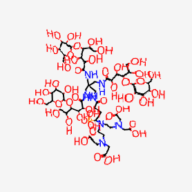 O=C(O)CN(CCN(CCN(CC(=O)O)CC(=O)O)C(CCC(=O)NCC(CNC(=O)C(O)C(O)C(OC1OC(CO)C(O)C(O)C1O)C(O)CO)(CNC(=O)C(O)C(O)C(OC1OC(CO)C(O)C(O)C1O)C(O)CO)CNC(=O)C(O)[C@@H](O)C(OC1OC(CO)C(O)C(O)C1O)C(O)CO)P(=O)(O)O)CC(=O)O